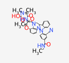 CCNC(=O)c1ccc(-n2nc(CN3C(=O)[C@@H](NC(=O)[C@H](C)N(C)C(=O)O)[C@H](C)Oc4ccccc43)c3ccccc32)c(C#N)c1